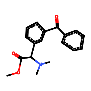 COC(=O)C(c1cccc(C(=O)c2ccccc2)c1)N(C)C